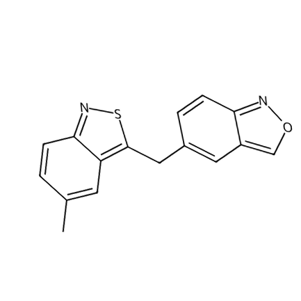 Cc1ccc2nsc(Cc3ccc4nocc4c3)c2c1